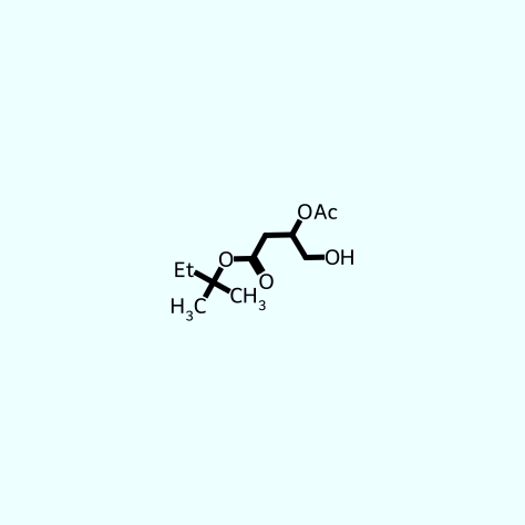 CCC(C)(C)OC(=O)CC(CO)OC(C)=O